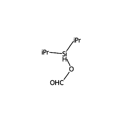 CC(C)[SiH](OC=O)C(C)C